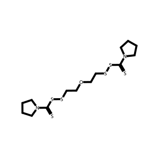 S=C(SSCCOCCSSC(=S)N1CCCC1)N1CCCC1